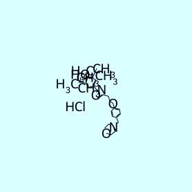 CC(C)(C)c1cc(-c2nc(CCOc3ccc(CN4CCOCC4)cc3)co2)cc(C(C)(C)C)c1O.Cl